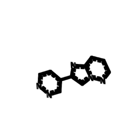 c1cnn2cc(-c3ccnnc3)nc2c1